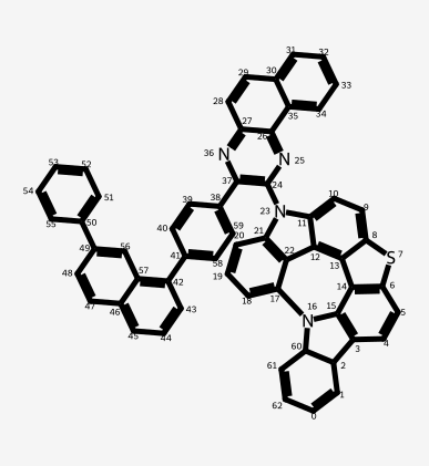 C1=CC2c3ccc4sc5ccc6c7c5c4c3n(c3cccc(c73)n6-c3nc4c(ccc5ccccc54)nc3-c3ccc(-c4cccc5ccc(-c6ccccc6)cc45)cc3)C2C=C1